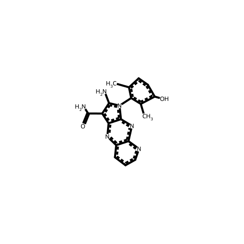 Cc1ccc(O)c(C)c1-n1c(N)c(C(N)=O)c2nc3cccnc3nc21